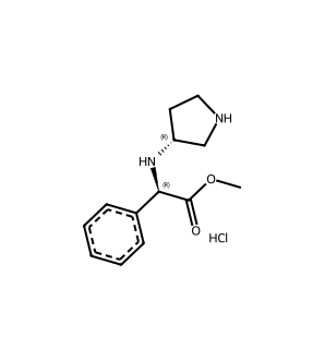 COC(=O)[C@H](N[C@@H]1CCNC1)c1ccccc1.Cl